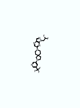 FC(F)Cn1ncc2ncc(N3CCC4(CCN(c5cncc(C(F)(F)F)c5)C4)CC3)nc21